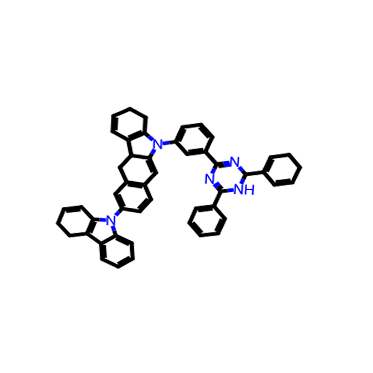 C1=CC(C2N=C(c3cccc(N4C5=Cc6ccc(-n7c8c(c9ccccc97)CCC=C8)cc6CC5C5=C4CCC=C5)c3)N=C(c3ccccc3)N2)=CCC1